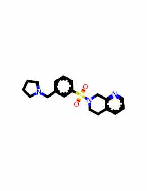 O=S(=O)(c1cccc(CN2CCCC2)c1)N1CCc2cccnc2C1